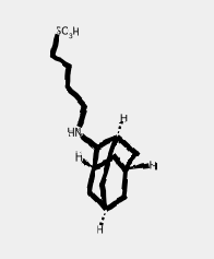 O=S(=O)(O)CCCCNC1[C@H]2C[C@@H]3C[C@@H](C[C@H]1C3)C2